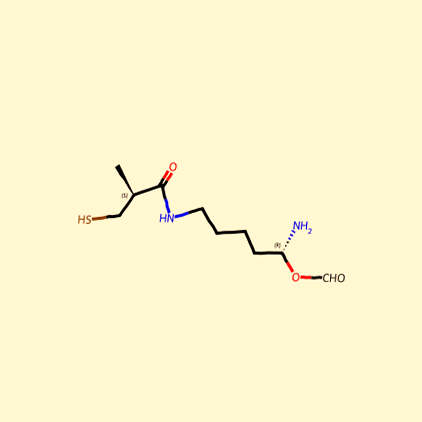 C[C@H](CS)C(=O)NCCCC[C@H](N)OC=O